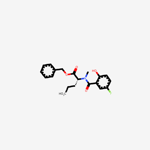 CN(C(=O)c1cc(F)ccc1O)[C@H](CCC(=O)O)C(=O)OCc1ccccc1